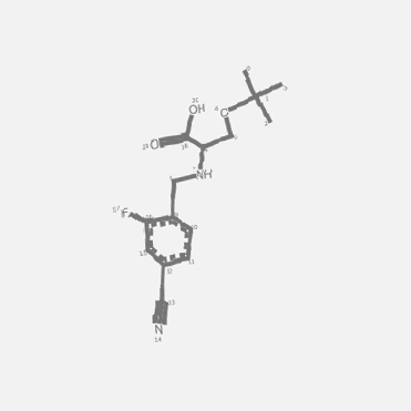 CC(C)(C)OCC(NCc1ccc(C#N)cc1F)C(=O)O